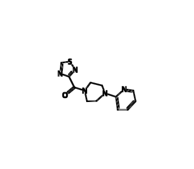 O=C(c1ncsn1)N1CCN(c2ccccn2)CC1